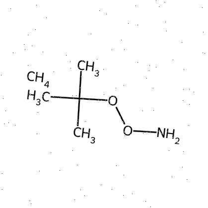 C.CC(C)(C)OON